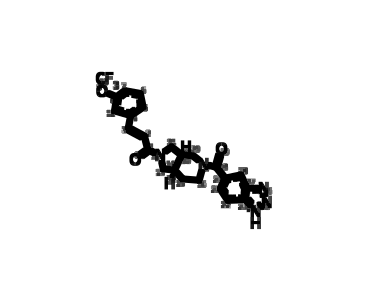 O=C(/C=C/c1cccc(OC(F)(F)F)c1)N1C[C@H]2CCN(C(=O)c3ccc4[nH]nnc4c3)C[C@@H]2C1